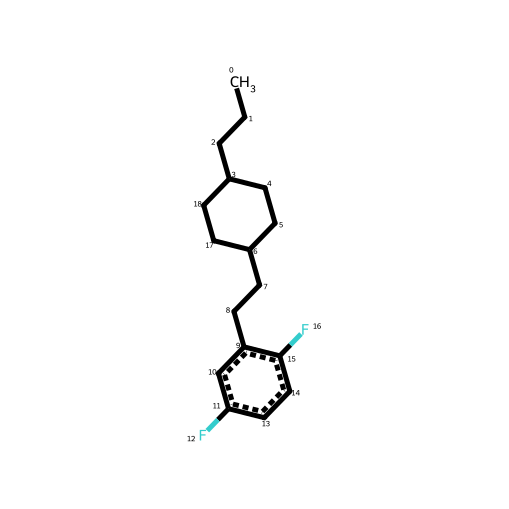 CCCC1CCC(CCc2cc(F)ccc2F)CC1